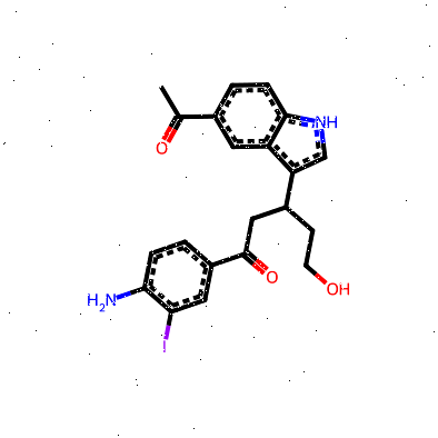 CC(=O)c1ccc2[nH]cc(C(CCO)CC(=O)c3ccc(N)c(I)c3)c2c1